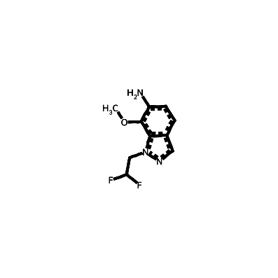 COc1c(N)ccc2cnn(CC(F)F)c12